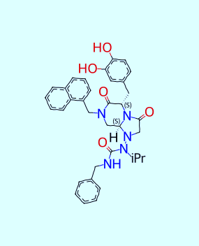 CC(C)N(C(=O)NCc1ccccc1)N1CC(=O)N2[C@@H](Cc3ccc(O)c(O)c3)C(=O)N(Cc3cccc4ccccc34)C[C@@H]21